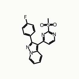 CS(=O)(=O)c1nccc(-c2c(-c3ccc(F)cc3)nn3ccccc23)n1